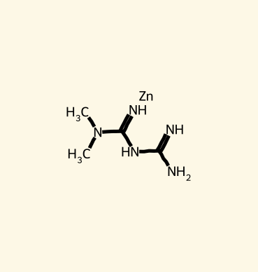 CN(C)C(=N)NC(=N)N.[Zn]